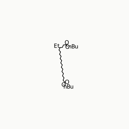 CCCCOC(=O)CCCCCCCCCCCCCCCC(CC)CCC(=O)OCCCC